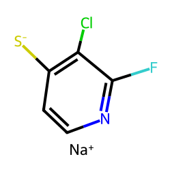 Fc1nccc([S-])c1Cl.[Na+]